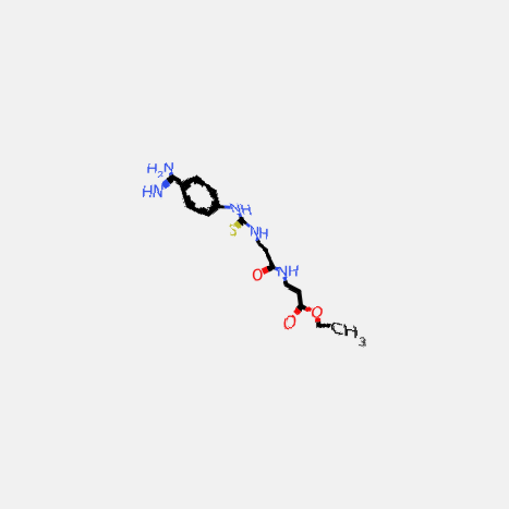 CCOC(=O)CCNC(=O)CCNC(=S)Nc1ccc(C(=N)N)cc1